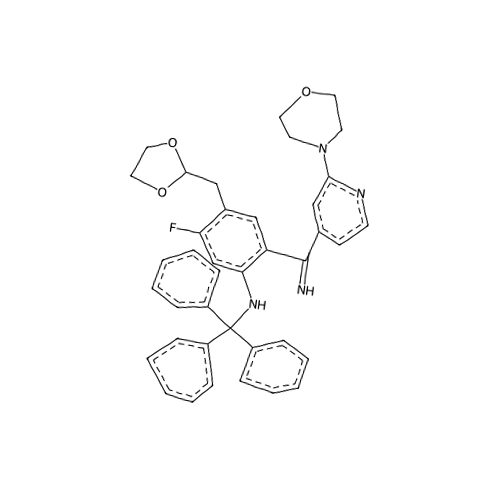 N=C(c1ccnc(N2CCOCC2)c1)c1cc(CC2OCCO2)c(F)cc1NC(c1ccccc1)(c1ccccc1)c1ccccc1